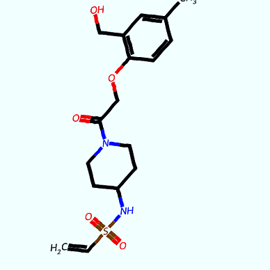 C=CS(=O)(=O)NC1CCN(C(=O)COc2ccc(C)cc2CO)CC1